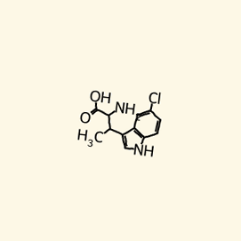 CC(c1c[nH]c2ccc(Cl)cc12)C(N)C(=O)O